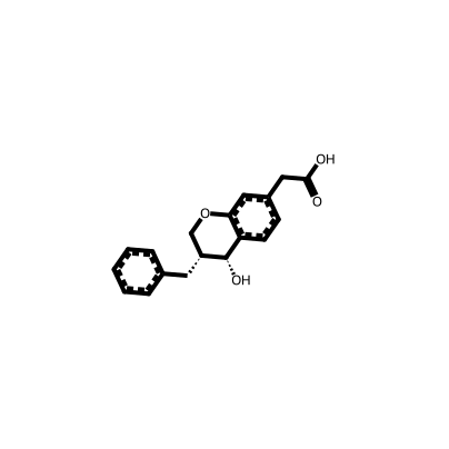 O=C(O)Cc1ccc2c(c1)OC[C@@H](Cc1ccccc1)[C@H]2O